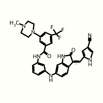 CN1CCN(c2cc(C(=O)Nc3cccc(Nc4ccc5c(c4)NC(=O)/C5=C\c4cc(C#N)c[nH]4)c3)cc(C(F)(F)F)c2)CC1